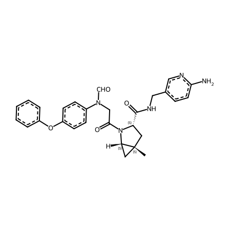 C[C@@]12C[C@@H]1N(C(=O)CN(C=O)c1ccc(Oc3ccccc3)cc1)[C@H](C(=O)NCc1ccc(N)nc1)C2